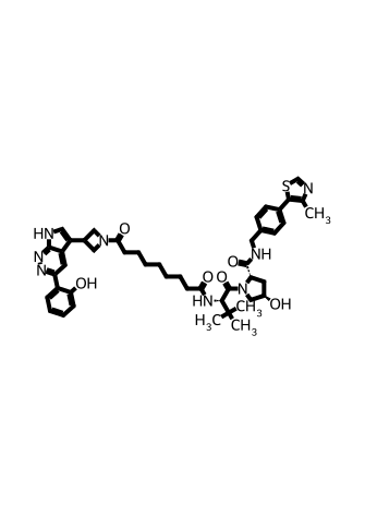 Cc1ncsc1-c1ccc(CNC(=O)[C@@H]2C[C@@H](O)CN2C(=O)[C@@H](NC(=O)CCCCCCCC(=O)N2CC(c3c[nH]c4nnc(-c5ccccc5O)cc34)C2)C(C)(C)C)cc1